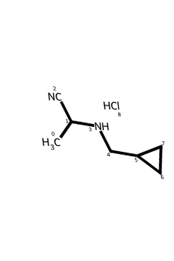 CC(C#N)NCC1CC1.Cl